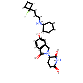 O=C1CCC(N2Cc3cc(O[C@H]4CCCC[C@@H]4NCCCC4(F)CCC4)ccc3C2=O)C(=O)N1